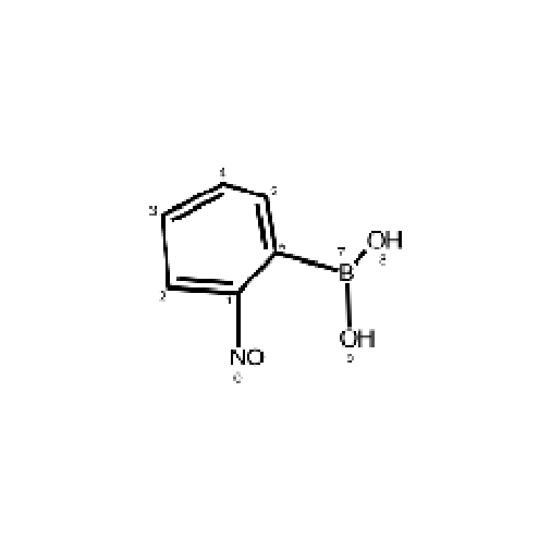 O=Nc1ccccc1B(O)O